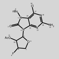 CCCCn1c(=O)n(C2OCC(F)C2OC(C)=O)c2nc(N)nc(Cl)c21